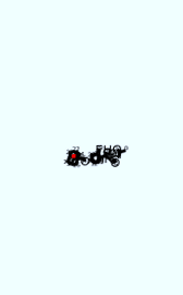 CC(O)CS(=O)(=O)NC(=O)c1ccc(OCC23CC4CC(CC(C4)C2)C3)cc1F